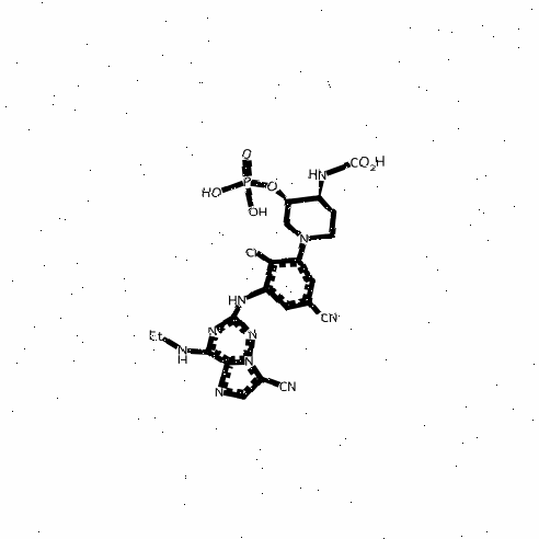 CCNc1nc(Nc2cc(C#N)cc(N3CC[C@H](NC(=O)O)[C@H](OP(=O)(O)O)C3)c2Cl)nn2c(C#N)cnc12